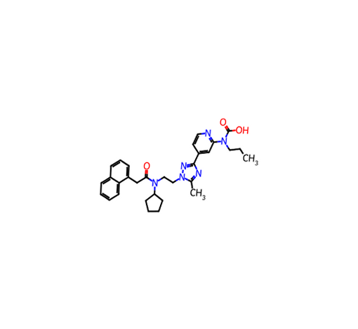 CCCN(C(=O)O)c1cc(-c2nc(C)n(CCN(C(=O)Cc3cccc4ccccc34)C3CCCC3)n2)ccn1